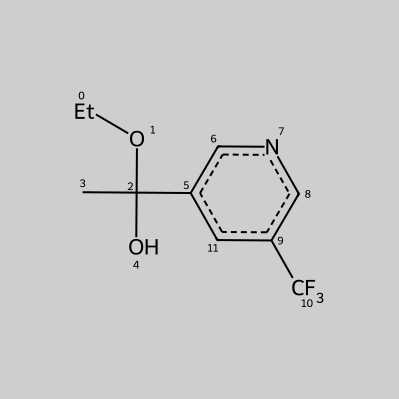 CCOC(C)(O)c1cncc(C(F)(F)F)c1